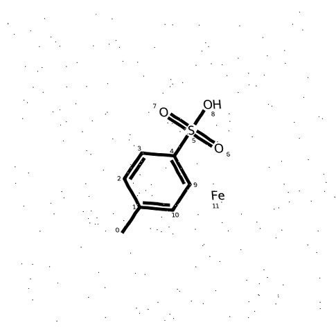 Cc1ccc(S(=O)(=O)O)cc1.[Fe]